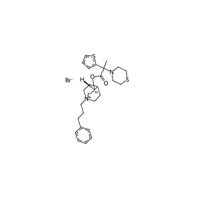 CC(C(=O)O[C@H]1C[N+]2(CCCc3ccccc3)CCC1CC2)(c1cccs1)N1CCSCC1.[Br-]